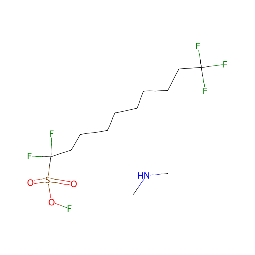 CNC.O=S(=O)(OF)C(F)(F)CCCCCCCCC(F)(F)F